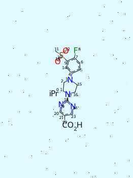 CC(C)[C@@H]1CN(c2ccc(F)c(S(C)(=O)=O)c2)CCN1c1ncc(C(=O)O)cn1